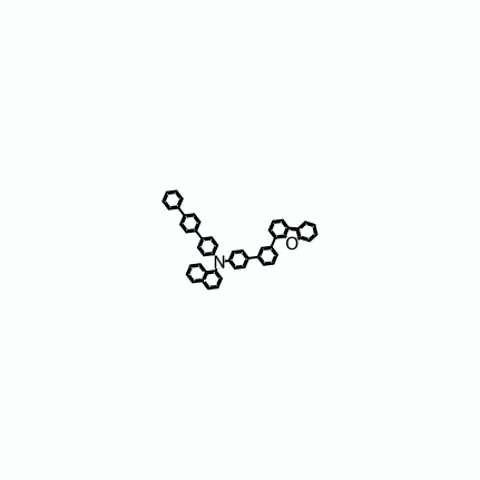 c1ccc(-c2ccc(-c3ccc(N(c4ccc(-c5cccc(-c6cccc7c6oc6ccccc67)c5)cc4)c4cccc5ccccc45)cc3)cc2)cc1